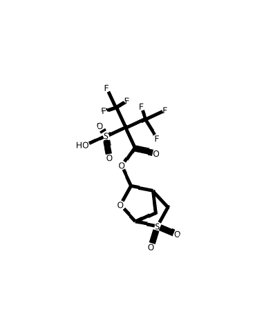 O=C(OC1OC2CC1CS2(=O)=O)C(C(F)(F)F)(C(F)(F)F)S(=O)(=O)O